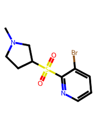 CN1CCC(S(=O)(=O)c2ncccc2Br)C1